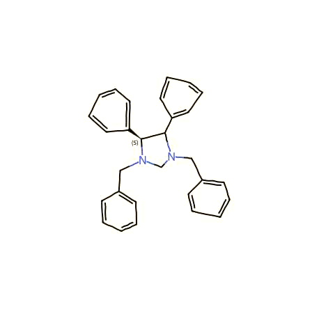 c1ccc(CN2CN(Cc3ccccc3)[C@@H](c3ccccc3)C2c2ccccc2)cc1